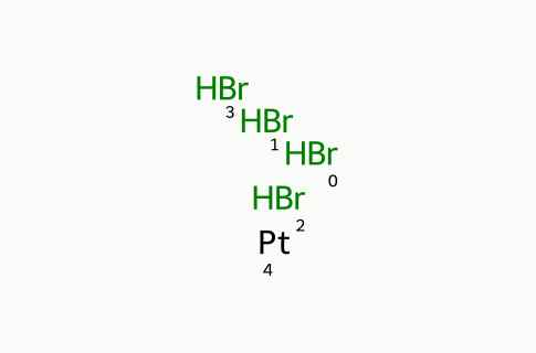 Br.Br.Br.Br.[Pt]